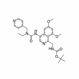 CCN(Cc1ccncc1)C(=O)Nc1cnc(CNC(=O)OC(C)(C)C)c2c(OC)cc(OC)cc12